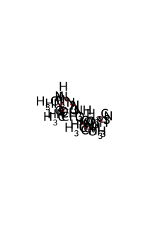 Cc1cnc(Nc2ccc(N3CCN(CC(=O)NCCOCCC(=O)NC(C(=O)N4C[C@H](O)C[C@H]4C(=O)NCc4ccc(-c5scnc5C)cc4)C(C)(C)C)CC3)cc2)nc1Nc1cccc(S(=O)(=O)NC(C)(C)C)c1